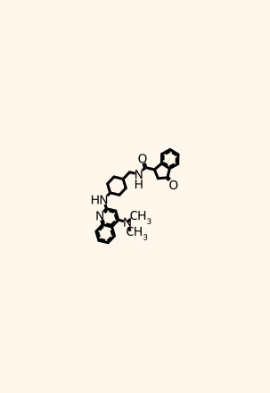 CN(C)c1cc(NC2CCC(CNC(=O)C3CC(=O)c4ccccc43)CC2)nc2ccccc12